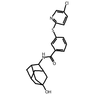 O=C(NC1C2CC3CC1CC(O)(C3)C2)c1cccc(Sc2ccc(Cl)cn2)c1